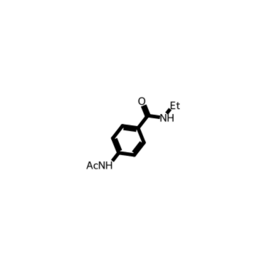 [CH2]CNC(=O)c1ccc(NC(C)=O)cc1